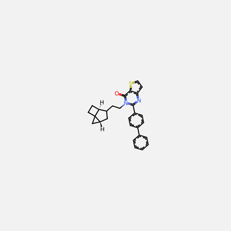 O=c1c2sccc2nc(-c2ccc(-c3ccccc3)cc2)n1CCC1C[C@@H]2CC23CC[C@@H]13